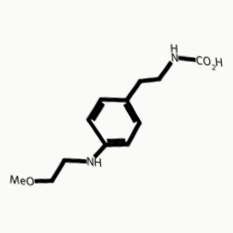 COCCNc1ccc(CCNC(=O)O)cc1